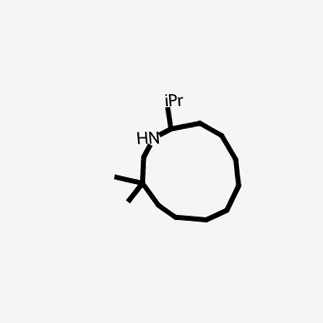 CC(C)C1CCCCCCCCC(C)(C)CN1